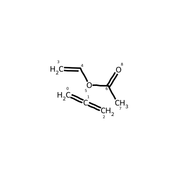 C=C=C.C=COC(C)=O